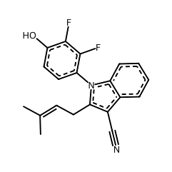 CC(C)=CCc1c(C#N)c2ccccc2n1-c1ccc(O)c(F)c1F